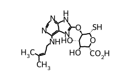 CC(C)=CCNc1ncnc2[nH]c(O[C@@H]3[C@@H](O)[C@H](O)[C@@H](C(=O)O)O[C@H]3S)nc12